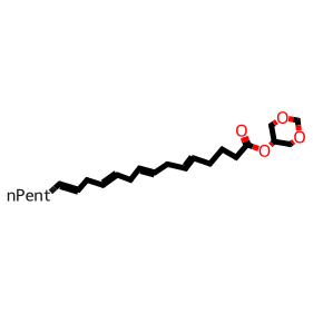 CCCCCC=CCC=CCC=CCC=CCCCC(=O)OC1COCOC1